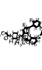 C=CC(=O)N1CCN(c2nc(=O)n3c4nc(c(F)cc24)-c2cc(ccc2F)NCCSc2ccnc(C(C)C)c2-3)[C@@H](C)C1